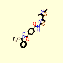 Cc1nc(C)c(-c2csc(NC(=O)[C@H]3CC[C@@H](C(=O)N[C@H](c4ccccc4)C(F)(F)F)CC3)n2)s1